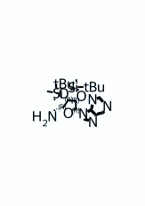 CC(C)(C)[Si](C)(C)O[C@@H]1[C@H](O[Si](C)(C)C(C)(C)C)[C@@H](CN)O[C@H]1n1cnc2cncnc21